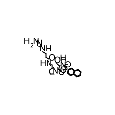 NN=CNCCCC(=O)NCC1CCCN1C(=O)C(CO)NS(=O)(=O)c1ccc2ccccc2c1